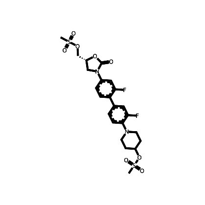 CS(=O)(=O)OC[C@H]1CN(c2ccc(-c3ccc(N4CCC(OS(C)(=O)=O)CC4)c(F)c3)c(F)c2)C(=O)O1